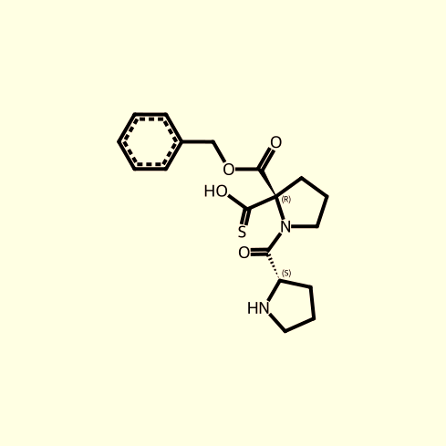 O=C([C@@H]1CCCN1)N1CCC[C@@]1(C(=O)OCc1ccccc1)C(O)=S